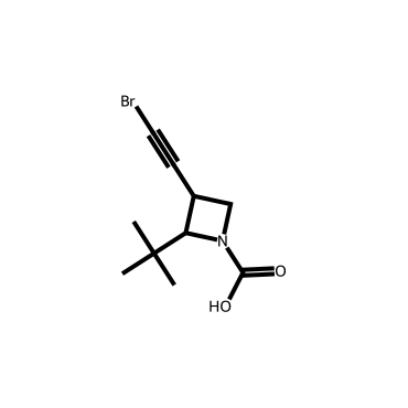 CC(C)(C)C1C(C#CBr)CN1C(=O)O